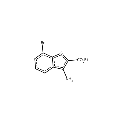 CCOC(=O)c1sc2c(Br)cccc2c1N